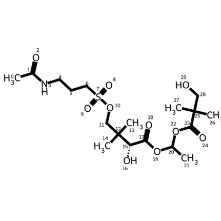 CC(=O)NCCCS(=O)(=O)OCC(C)(C)[C@@H](O)C(=O)OC(C)OC(=O)C(C)(C)CO